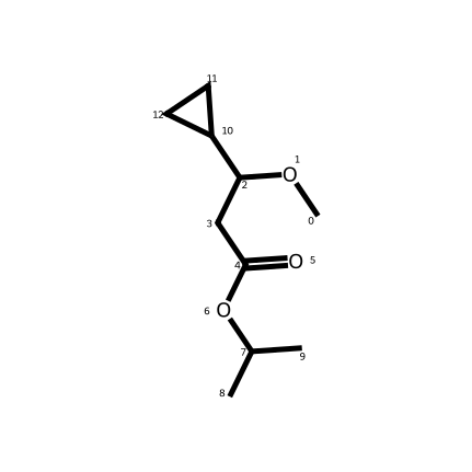 COC(CC(=O)OC(C)C)C1CC1